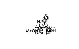 COc1ccc(SC(=O)[C@@H](CCSC)NC(=O)[C@@H](N)Cc2ccncc2)cc1OC.O=C(O)C(F)(F)F